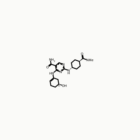 CNC(=O)[C@H]1CC[C@H](Nc2ncc(C(N)=O)c(NC3=CCC[C@H](O)C3)n2)CC1